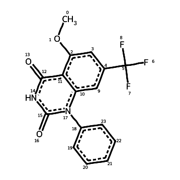 COc1cc(C(F)(F)F)cc2c1c(=O)[nH]c(=O)n2-c1ccccc1